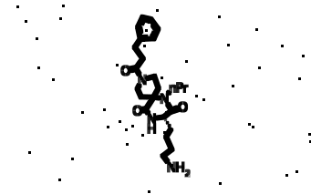 CCCN1C(=O)[C@H](CCCCN)NC(=O)C12CCN(C(=O)CCc1ccccc1)CC2